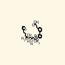 CN(CC(O)CNC(C)(C)CCCc1cccs1)S(=O)(=O)c1cccc(-c2cccc(CCC(=O)O)c2)c1